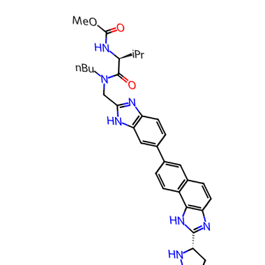 CCCCN(Cc1nc2ccc(-c3ccc4c(ccc5nc([C@@H]6CCCN6)[nH]c54)c3)cc2[nH]1)C(=O)[C@@H](NC(=O)OC)C(C)C